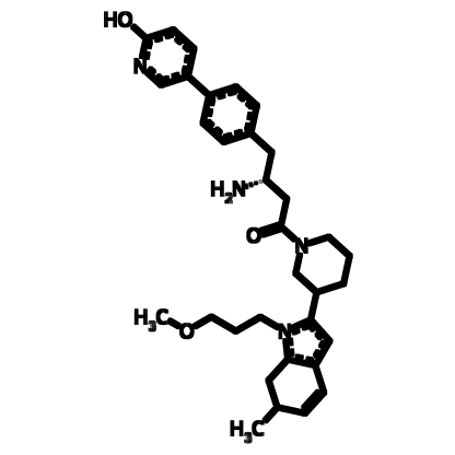 COCCCn1c(C2CCCN(C(=O)C[C@H](N)Cc3ccc(-c4ccc(O)nc4)cc3)C2)cc2c1CC(C)C=C2